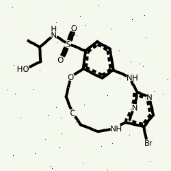 CC(CO)NS(=O)(=O)c1ccc2cc1OCCCCNc1nc(ncc1Br)N2